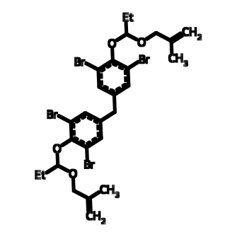 C=C(C)COC(CC)Oc1c(Br)cc(Cc2cc(Br)c(OC(CC)OCC(=C)C)c(Br)c2)cc1Br